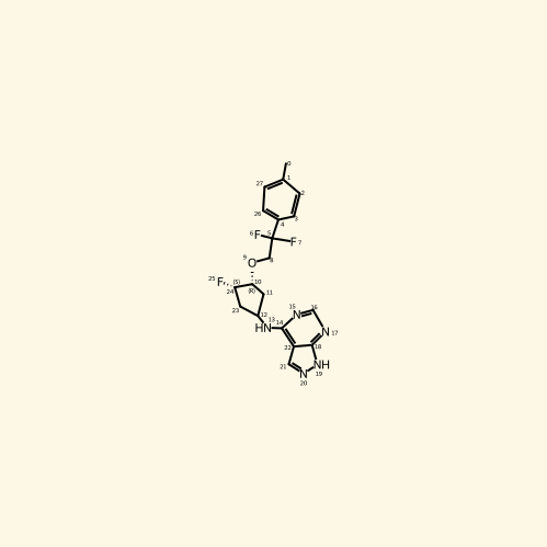 Cc1ccc(C(F)(F)CO[C@@H]2CC(Nc3ncnc4[nH]ncc34)C[C@@H]2F)cc1